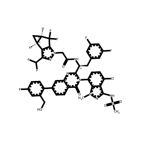 Cn1nc(NS(C)(=O)=O)c2c(Cl)ccc(-n3c([C@H](Cc4cc(F)cc(F)c4)NC(=O)Cn4nc(C(F)F)c5c4C(F)(F)[C@@H]4C[C@H]54)nc4cc(-c5ccc(F)cc5CO)ccc4c3=O)c21